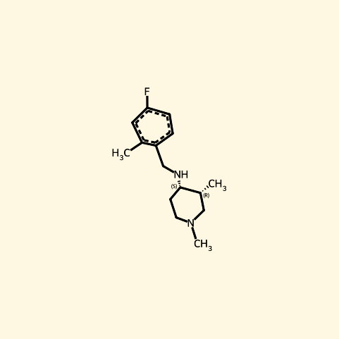 Cc1cc(F)ccc1CN[C@H]1CCN(C)C[C@H]1C